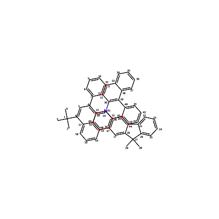 CC(C)(C)c1cc(-c2ccccc2)c(N(c2ccc3c(c2)-c2ccccc2C3(C)C)c2ccc3ccccc3c2-c2ccccc2-c2ccccc2)c2ccccc12